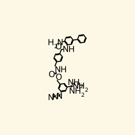 [N-]=[N+]=Nc1cc(COC(=O)NCc2ccc(C(=O)Nc3cc(-c4ccccc4)ccc3N)cc2)cc(C(N)(N)N)c1